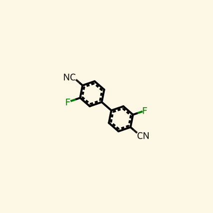 N#Cc1ccc(-c2ccc(C#N)c(F)c2)cc1F